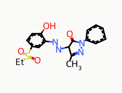 CCS(=O)(=O)c1ccc(O)c(/N=N/C2C(=O)N(c3ccccc3)N=C2C)c1